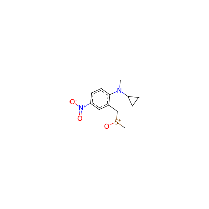 CN(c1ccc([N+](=O)[O-])cc1C[S+](C)[O-])C1CC1